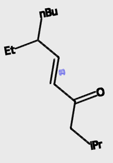 CCCCC(/C=C/C(=O)CC(C)C)CC